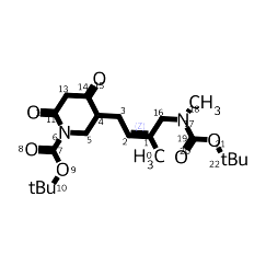 C/C(=C/CC1CN(C(=O)OC(C)(C)C)C(=O)CC1=O)CN(C)C(=O)OC(C)(C)C